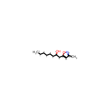 CCCCCCC(O)Cc1cc(C)no1